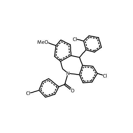 COc1ccc2c(c1)CN(C(=O)c1ccc(Cl)cc1)c1ccc(Cl)cc1C2c1ccccc1Cl